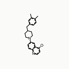 Cc1ccc(CC2CCN(c3ccc4nccc([O])c4c3)CC2)cc1C